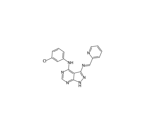 Clc1cccc(Nc2ncnc3[nH]nc(N=Cc4ccccn4)c23)c1